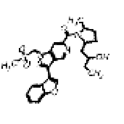 CCC(O)CC1CCC(C)N1C(=O)c1cc2c(cn1)c(-c1coc3ccccc13)nn2CS(C)(=O)=O